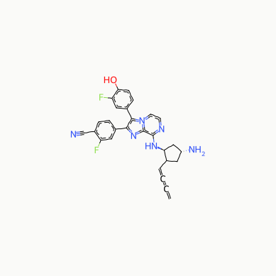 C=C=C=CC1C[C@@H](N)C[C@@H]1Nc1nccn2c(-c3ccc(O)c(F)c3)c(-c3ccc(C#N)c(F)c3)nc12